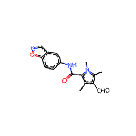 Cc1c(C=O)c(C)n(C)c1C(=O)Nc1ccc2oncc2c1